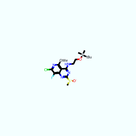 COc1nc(Cl)c(F)c2nc([S+](C)[O-])nc(NCCO[Si](C)(C)C(C)(C)C)c12